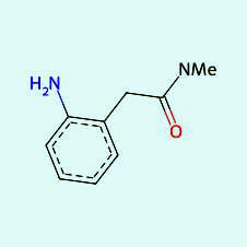 CNC(=O)Cc1ccccc1N